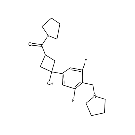 O=C(C1CC(O)(c2cc(F)c(CN3CCCC3)c(F)c2)C1)N1CCCC1